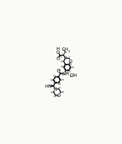 CC[C@H](C(=O)O)C1COc2ccc(NC(=O)c3ccc(C(=N)N4CCOCC4)cc3)cc2C1.Cl